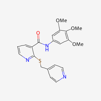 COc1cc(NC(=O)c2cccnc2SCc2ccncc2)cc(OC)c1OC